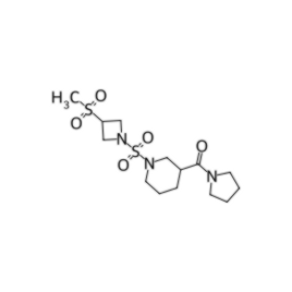 CS(=O)(=O)C1CN(S(=O)(=O)N2CCCC(C(=O)N3CCCC3)C2)C1